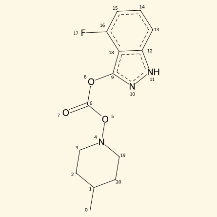 CC1CCN(OC(=O)Oc2n[nH]c3cccc(F)c23)CC1